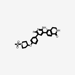 CS(=O)(=O)N1CCC(Oc2ccc(-c3cc(-c4ccc5c(c4)CCNC5=O)c(N)nc3F)cc2)CC1